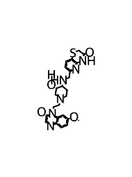 COc1ccc2ncc(=O)n(CCN3CC[C@H](NCc4ccc5c(n4)NC(=O)CS5)[C@H](O)C3)c2c1